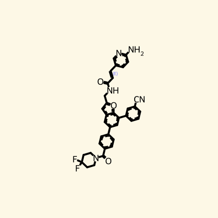 N#Cc1cccc(-c2cc(-c3ccc(C(=O)N4CCC(F)(F)CC4)cc3)cc3cc(CNC(=O)/C=C/c4ccc(N)nc4)oc23)c1